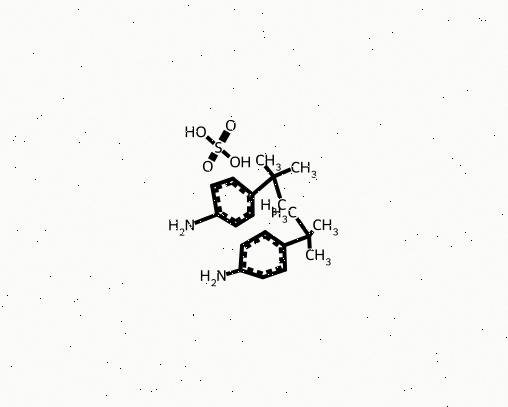 CC(C)(C)c1ccc(N)cc1.CC(C)(C)c1ccc(N)cc1.O=S(=O)(O)O